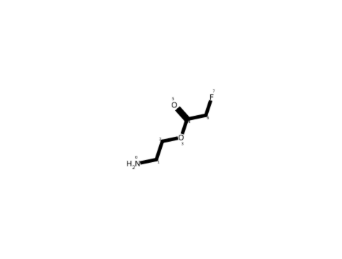 NCCOC(=O)CF